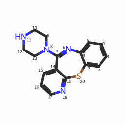 c1ccc2c(c1)N=C(N1CCNCC1)c1cccnc1S2